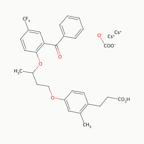 Cc1cc(OCCC(C)Oc2ccc(C(F)(F)F)cc2C(=O)c2ccccc2)ccc1CCC(=O)O.O=C([O-])[O-].[Cs+].[Cs+]